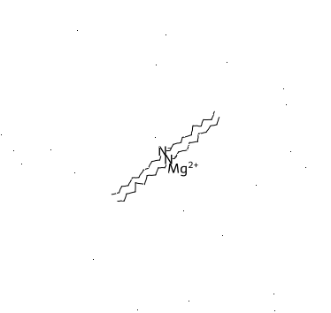 CCCCCCCCCC[N-]CCCCCCCCCC.CCCCCCCCCC[N-]CCCCCCCCCC.[Mg+2]